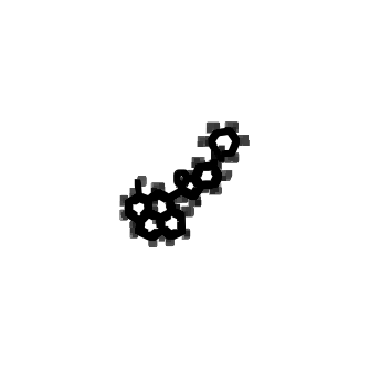 Cc1ccc2ccc3cccc4c(-c5cc6ccc(N7CCCCC7)cc6o5)cc1c2c34